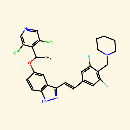 CC(Oc1ccc2[nH]nc(/C=C/c3cc(F)c(CN4CCCCC4)c(F)c3)c2c1)c1c(Cl)cncc1Cl